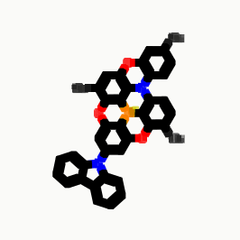 CC(C)(C)c1ccc2c(c1)Oc1cc(C(C)(C)C)c3c4c1N2c1ccc(C(C)(C)C)c2c1P4(=S)c1c(cc(-n4c5ccccc5c5ccccc54)cc1O3)O2